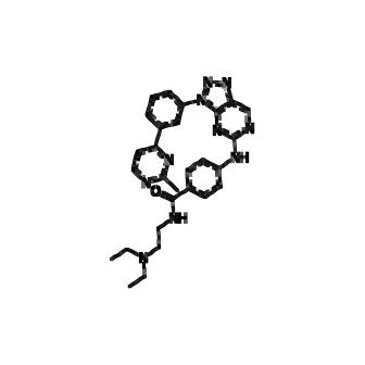 CCN(CC)CCNC(=O)c1ccc(Nc2ncc3nnn(-c4cccc(-c5ccnc(C)n5)c4)c3n2)cc1